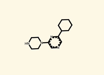 c1ncc(N2CCNCC2)nc1C1CCCCC1